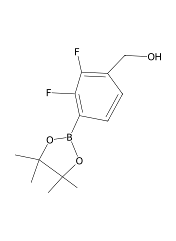 CC1(C)OB(c2ccc(CO)c(F)c2F)OC1(C)C